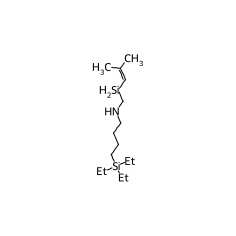 CC[Si](CC)(CC)CCCCNC[SiH2]C=C(C)C